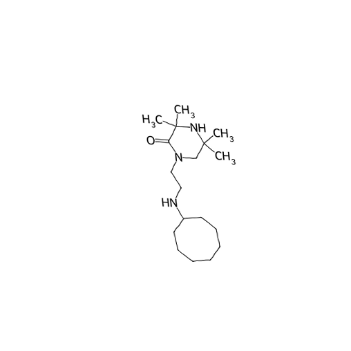 CC1(C)CN(CCNC2CCCCCCC2)C(=O)C(C)(C)N1